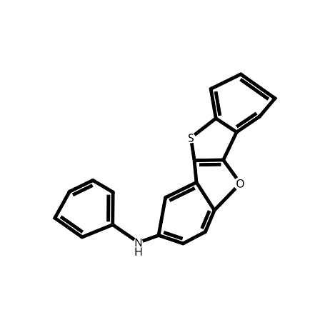 c1ccc(Nc2ccc3oc4c5ccccc5sc4c3c2)cc1